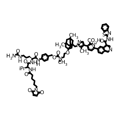 Cc1c(-c2ccc(-c3ccc4cncc(C(=O)Nc5nc6ccccc6s5)c4c3)nc2C(=O)O)cnn1CC12CC3(C)CC(C)(C1)CC(OCCN(C)C(=O)OCc1ccc(NC(=O)[C@H](CCCNC(N)=O)NC(=O)C(NC(=O)CCCCCN4C(=O)C=CC4=O)C(C)C)cc1)(C3)C2